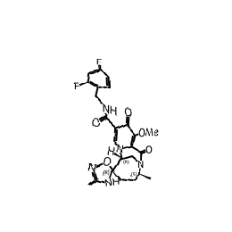 COc1c2n(cc(C(=O)NCc3ccc(F)cc3F)c1=O)[C@@H]1CN(C2=O)[C@@H](C)CC[C@]12NC(C)=NO2